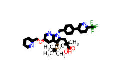 CC(C)(C)Sc1c(CC(C)(C)C(=O)O)n(Cc2ccc(-c3ccc(C(F)(F)F)nc3)cc2)c2ncc(OCc3ccccn3)cc12